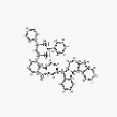 c1ccc(C2N=C(c3cccc4oc5cc(-n6c7ccccc7c7c8c(ccc76)sc6ccccc68)ccc5c34)NC(c3ccccc3)N2)cc1